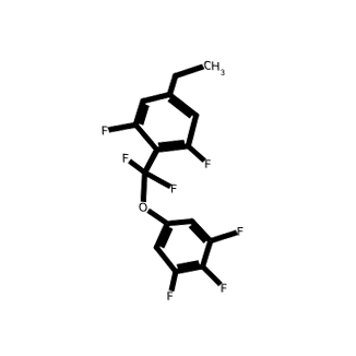 CCc1cc(F)c(C(F)(F)Oc2cc(F)c(F)c(F)c2)c(F)c1